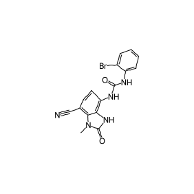 Cn1c(=O)[nH]c2c(NC(=O)Nc3ccccc3Br)ccc(C#N)c21